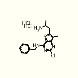 Cc1c(CC(C)N)sc2c(NCc3ccccc3)nc(Cl)nc12.Cl.Cl